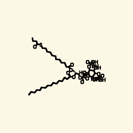 CCCCCCCCCCCCCCCC(=O)O[C@H](COC(=O)CCCCCCCCCCCSC(=O)CCC)COP(=O)(O)OC1C(O)[C@@H](OP(=O)(O)O)C(O)[C@@H](OP(=O)(O)O)[C@H]1O